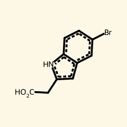 O=C(O)Cc1cc2cc(Br)ccc2[nH]1